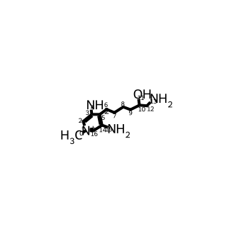 C[n+]1cc(N)c(CCCCC(O)CN)c(N)c1